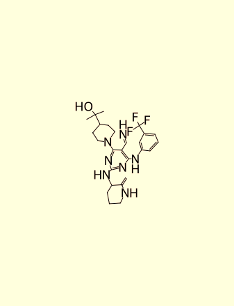 C=C1NCCCC1Nc1nc(Nc2cccc(C(F)(F)F)c2)c(C=N)c(N2CCC(C(C)(C)O)CC2)n1